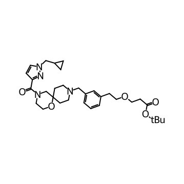 CC(C)(C)OC(=O)CCOCCc1cccc(CN2CCC3(CC2)CN(C(=O)c2ccn(CC4CC4)n2)CCO3)c1